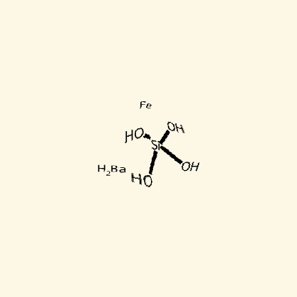 O[Si](O)(O)O.[BaH2].[Fe]